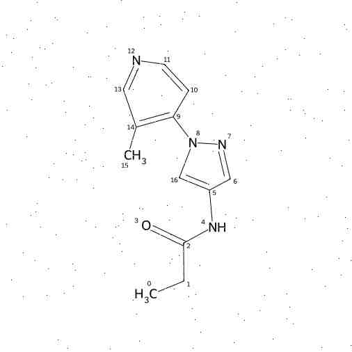 CCC(=O)Nc1cnn(-c2ccncc2C)c1